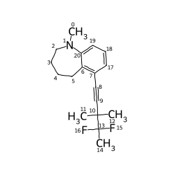 CN1CCCCc2c(C#CC(C)(C)C(C)(F)F)cccc21